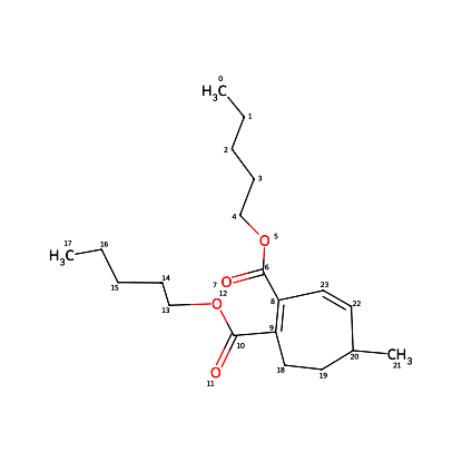 CCCCCOC(=O)C1=C(C(=O)OCCCCC)CCC(C)C=C1